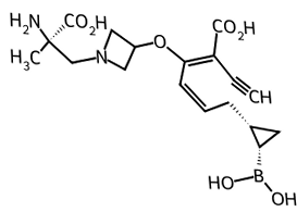 C#C/C(C(=O)O)=C(\C=C/C[C@@H]1C[C@@H]1B(O)O)OC1CN(C[C@@](C)(N)C(=O)O)C1